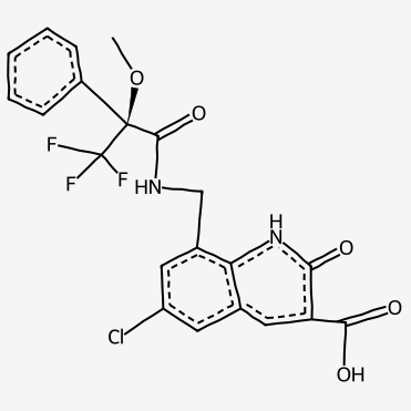 CO[C@](C(=O)NCc1cc(Cl)cc2cc(C(=O)O)c(=O)[nH]c12)(c1ccccc1)C(F)(F)F